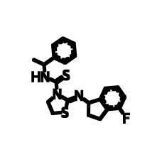 CC(NC(=S)N1CCS/C1=N\C1CCc2c(F)cccc21)c1ccccc1